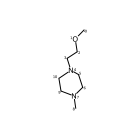 [CH2]OCCN1CCN(C)CC1